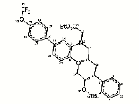 CCOC(=O)CN(CCCCc1ccccc1)c1cc(-c2ccc(OC(F)(F)F)cc2)ccc1OCCOC(C)(C)C